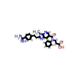 Cn1c(CCc2ccc(C(=N)N)cc2)nc2cc(C(=O)N(CCC(=O)O)c3ccccc3)cnc21